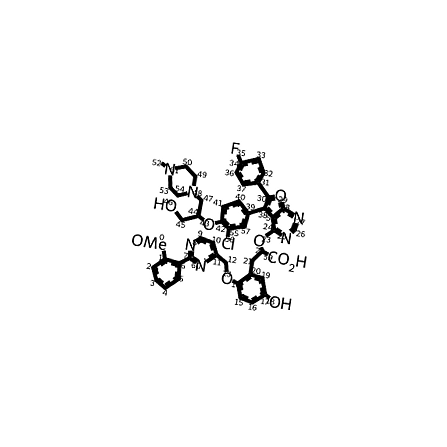 COc1ccccc1-c1nccc(COc2ccc(O)cc2CC(Oc2ncnc3oc(-c4ccc(F)cc4)c(-c4ccc(OC(CO)CN5CCN(C)CC5)c(Cl)c4)c23)C(=O)O)n1